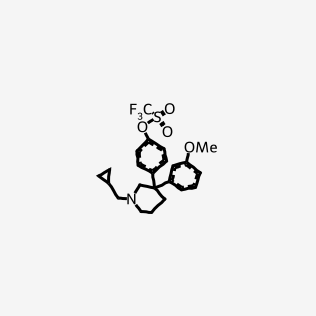 COc1cccc(C2(c3ccc(OS(=O)(=O)C(F)(F)F)cc3)CCCN(CC3CC3)C2)c1